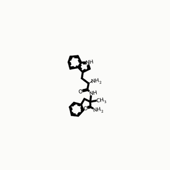 CC(Cc1ccccc1)(NC(=O)[C@@H](N)Cc1c[nH]c2ccccc12)C(N)=O